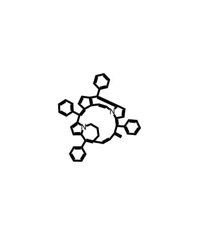 C=c1ccc2c(-c3ccccc3)c3ccc(c(-c4ccccc4)c4ccc5c(-c6ccccc6)c6ccc(c1-c1ccccc1)n6ccc4=5)n3CCC2